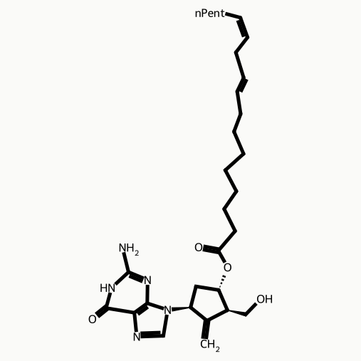 C=C1[C@H](CO)[C@@H](OC(=O)CCCCCCCC=CC/C=C\CCCCC)C[C@@H]1n1cnc2c(=O)[nH]c(N)nc21